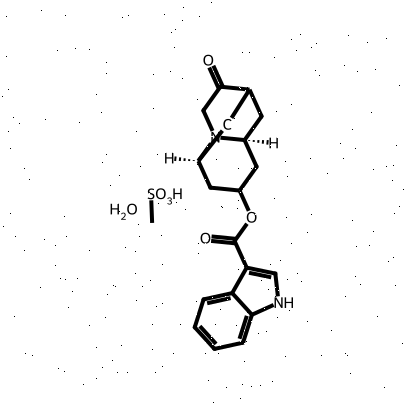 CS(=O)(=O)O.O.O=C(OC1C[C@@H]2CC3C[C@@H](C1)N2CC3=O)c1c[nH]c2ccccc12